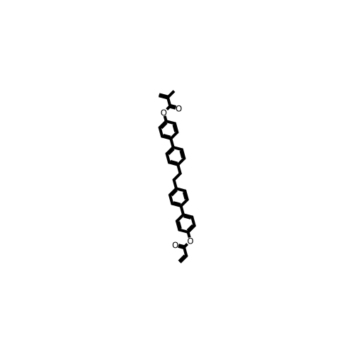 C=CC(=O)Oc1ccc(-c2ccc(CCc3ccc(-c4ccc(OC(=O)C(=C)C)cc4)cc3)cc2)cc1